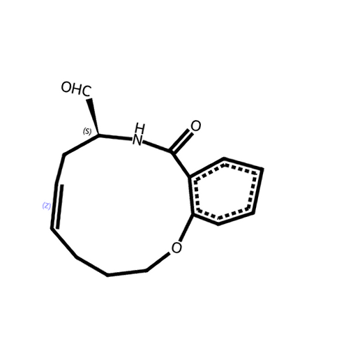 O=C[C@@H]1C/C=C\CCCOc2ccccc2C(=O)N1